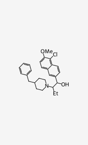 CCC(C(O)c1ccc2c(Cl)c(OC)ccc2c1)N1CCC(Cc2ccccc2)CC1